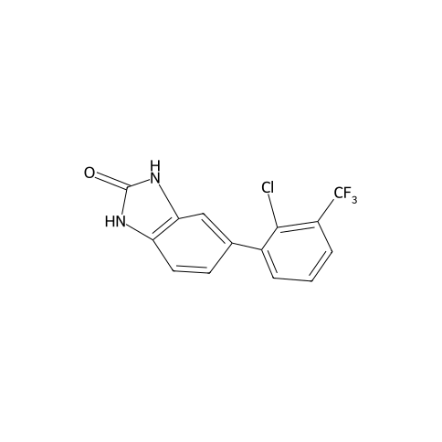 O=c1[nH]c2ccc(-c3cccc(C(F)(F)F)c3Cl)cc2[nH]1